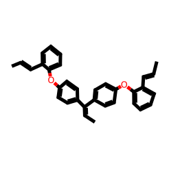 CC=C(c1ccc(Oc2ccccc2/C=C/C)cc1)c1ccc(Oc2ccccc2/C=C/C)cc1